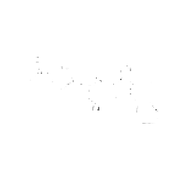 Cc1c(N=C(C#N)c2ccc([N+](=O)[O-])cc2)c(=O)n(-c2ccccc2)n1C